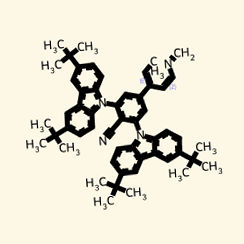 C=N/C=C\C(=C/C)c1cc(-n2c3ccc(C(C)(C)C)cc3c3cc(C(C)(C)C)ccc32)c(C#N)c(-n2c3ccc(C(C)(C)C)cc3c3cc(C(C)(C)C)ccc32)c1